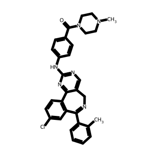 Cc1ccccc1C1=NCc2cnc(Nc3ccc(C(=O)N4CCN(C)CC4)cc3)nc2-c2ccc(Cl)cc21